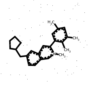 Cc1cc(C)c(C)c(-c2cc3cc(CC4CCCC4)ccc3c[n+]2C)c1